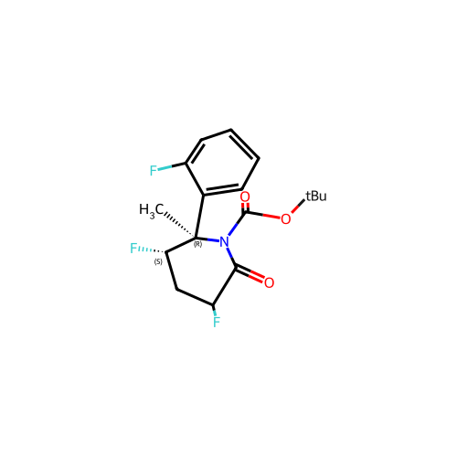 CC(C)(C)OC(=O)N1C(=O)C(F)C[C@H](F)[C@@]1(C)c1ccccc1F